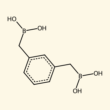 OB(O)Cc1cccc(CB(O)O)c1